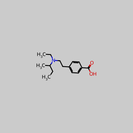 CCC(C)N(CC)CCc1ccc(C(=O)O)cc1